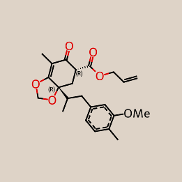 C=CCOC(=O)[C@@H]1C[C@]2(C(C)Cc3ccc(C)c(OC)c3)OCOC2=C(C)C1=O